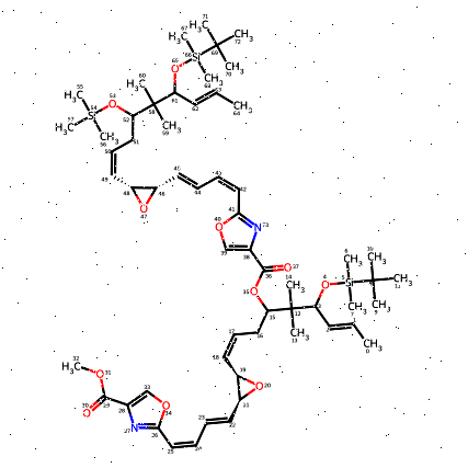 C/C=C/C(O[Si](C)(C)C(C)(C)C)C(C)(C)C(C/C=C\[C@H]1O[C@H]1/C=C/C=C\c1nc(C(=O)OC)co1)OC(=O)c1coc(/C=C\C=C\[C@@H]2O[C@@H]2/C=C\CC(O[Si](C)(C)C)C(C)(C)C(/C=C/C)O[Si](C)(C)C(C)(C)C)n1